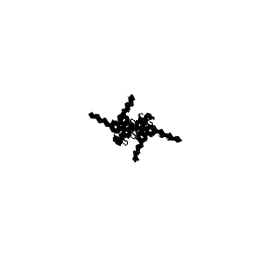 CCCCCCc1ccc(C2(c3ccc(CCCCCC)cc3)c3c(sc4ccsc34)-c3sc4c5c(sc4c32)-c2sc3ccsc3c2C5(c2ccc(CCCCCC)cc2)c2ccc(CCCCCC)cc2)cc1